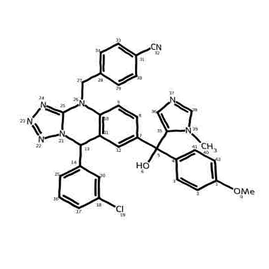 COc1ccc(C(O)(c2ccc3c(c2)C(c2cccc(Cl)c2)n2nnnc2N3Cc2ccc(C#N)cc2)c2cncn2C)cc1